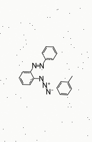 Cc1ccccc1.[N-]=[N+]=Nc1ccccc1N=Nc1ccccc1